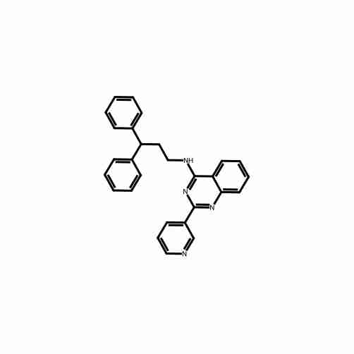 c1ccc(C(CCNc2nc(-c3cccnc3)nc3ccccc23)c2ccccc2)cc1